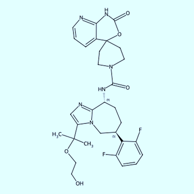 CC(C)(OCCO)c1cnc2n1C[C@H](c1c(F)cccc1F)CC[C@H]2NC(=O)N1CCC2(CC1)OC(=O)Nc1ncccc12